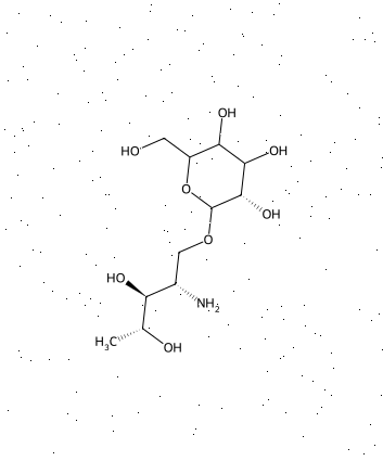 C[C@@H](O)[C@@H](O)[C@@H](N)COC1OC(CO)C(O)C(O)[C@@H]1O